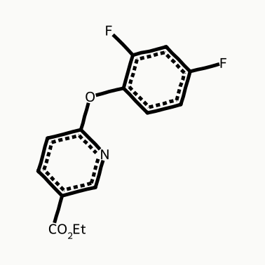 CCOC(=O)c1ccc(Oc2ccc(F)cc2F)nc1